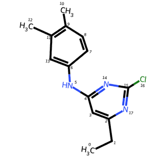 CCc1cc(Nc2ccc(C)c(C)c2)nc(Cl)n1